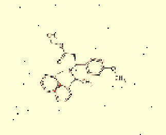 CCOC(=O)C[C@@H](c1ccc(OC)nc1)N(Cc1ccccc1)C(C)c1ccccc1